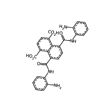 Nc1ccccc1NC(=O)c1ccc(C(=O)Nc2ccccc2N)c2c(C(=O)O)ccc(C(=O)O)c12